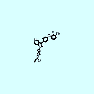 C=CC(=O)N1CC2(CC(n3nc(-c4ccc(Oc5cccc(OC)c5F)cc4)c4cnccc43)C2)C1